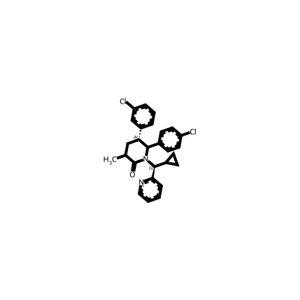 CC1C[C@H](c2cccc(Cl)c2)C(c2ccc(Cl)cc2)N([C@H](c2ccccn2)C2CC2)C1=O